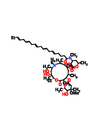 CCC=CCC=CCC=CCC=CCC=CCCCC(=O)N(C)[C@H]1C[C@@H](C)O[C@@H](O[C@@H]2[C@@H](C)[C@H](O[C@H]3C[C@@](C)(OC)[C@@H](O)[C@H](C)O3)[C@@H](C)C(=O)O[C@H](CC)[C@@](C)(O)[C@H](O)[C@@H](C)N(C)C[C@H](C)C[C@@]2(C)O)[C@@H]1O